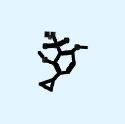 COc1ccc(C2CC2)c(OC)c1S(N)(=O)=O